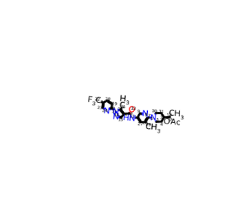 CC(=O)OC(C)C1CCN(c2ncc(NC(=O)c3cnn(-c4ccc(C(F)(F)F)cn4)c3C)cc2C)CC1